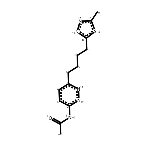 CC(=O)Nc1ccc(CCCCc2nnc(C)s2)nn1